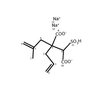 C=CCC(CC(=C)C)(C(=O)[O-])C(C(=O)[O-])S(=O)(=O)O.[Na+].[Na+]